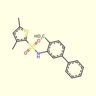 Cc1cc(C)c(S(=O)(=O)Nc2cc(-c3ccccc3)ccc2C(=O)O)s1